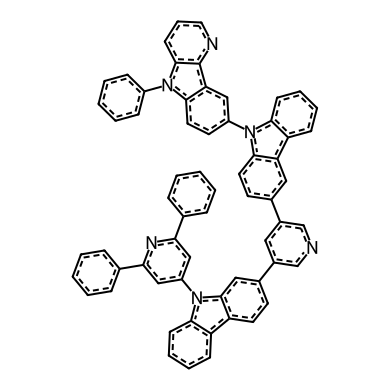 c1ccc(-c2cc(-n3c4ccccc4c4ccc(-c5cncc(-c6ccc7c(c6)c6ccccc6n7-c6ccc7c(c6)c6ncccc6n7-c6ccccc6)c5)cc43)cc(-c3ccccc3)n2)cc1